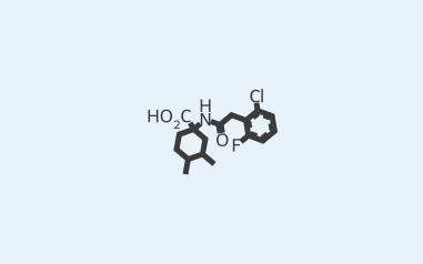 CC1CCC(NC(=O)Cc2c(F)cccc2Cl)(C(=O)O)CC1C